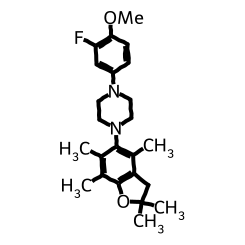 COc1ccc(N2CCN(c3c(C)c(C)c4c(c3C)CC(C)(C)O4)CC2)cc1F